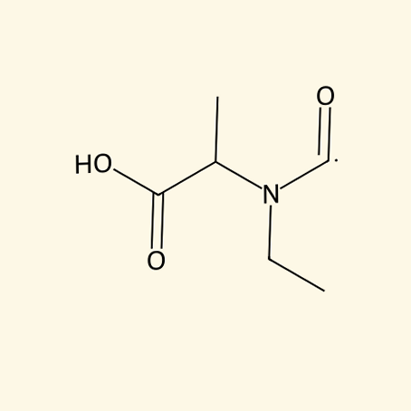 CCN([C]=O)C(C)C(=O)O